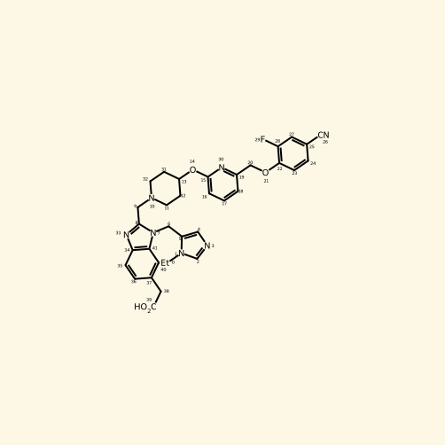 CCn1cncc1Cn1c(CN2CCC(Oc3cccc(COc4ccc(C#N)cc4F)n3)CC2)nc2ccc(CC(=O)O)cc21